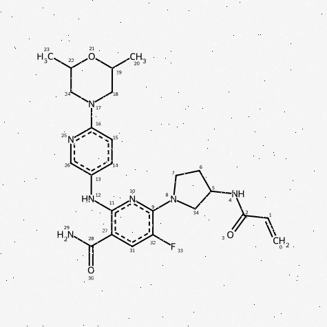 C=CC(=O)NC1CCN(c2nc(Nc3ccc(N4CC(C)OC(C)C4)nc3)c(C(N)=O)cc2F)C1